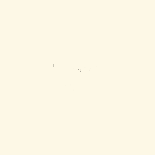 COC(=O)C1CN(C(=O)OC(C)(C)C)c2ccc(F)cc21